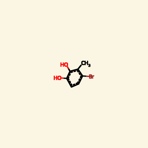 Cc1c(Br)ccc(O)c1O